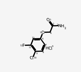 Cl.NC(=O)COc1ccc(Cl)c(F)c1